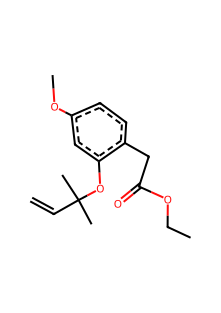 C=CC(C)(C)Oc1cc(OC)ccc1CC(=O)OCC